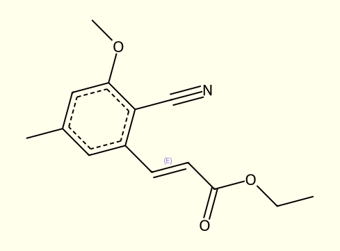 CCOC(=O)/C=C/c1cc(C)cc(OC)c1C#N